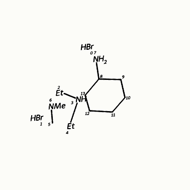 Br.Br.CCNCC.CNC.NC1CCCCC1